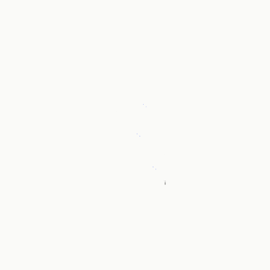 CC(C)N1CCN2c3ncccc3CCCC2C1